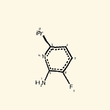 CC(C)c1ccc(F)c(N)n1